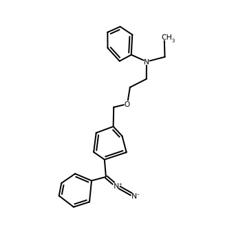 CCN(CCOCc1ccc(C(=[N+]=[N-])c2ccccc2)cc1)c1ccccc1